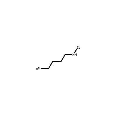 [CH2]CNCCCCCCC